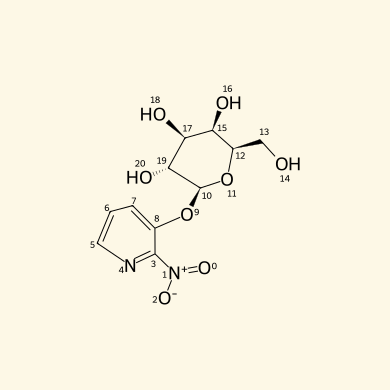 O=[N+]([O-])c1ncccc1O[C@@H]1O[C@H](CO)[C@H](O)[C@H](O)[C@H]1O